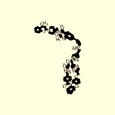 C=CC(=O)NCc1ccc(C(=O)Nc2ccccc2Oc2ccc(OCc3cnc(Cn4cc(CNCC#Cc5ccc6c(=O)n(CC7(O)CCN(C(=O)C[C@@H](C)c8ccccc8)CC7)cnc6c5)cn4)cn3)cc2)cc1